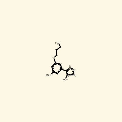 COc1cc(OCCCC(F)(F)F)cc(-c2nn[nH]c2C#N)c1